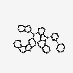 c1ccc(-c2cccc(-n3c4cccc(N(c5ccc6ccccc6c5)c5ccc6sc7ccc8ccccc8c7c6c5)c4c4ccc5ccccc5c43)c2)cc1